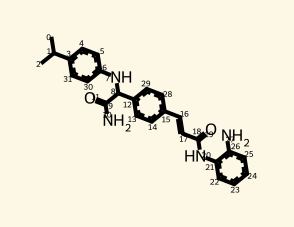 CC(C)c1ccc(NC(C(N)=O)c2ccc(/C=C/C(=O)Nc3ccccc3N)cc2)cc1